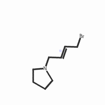 BrC/C=C/CN1CCCC1